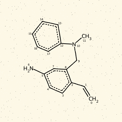 C=Cc1ccc(N)cc1CN(C)c1ccccc1